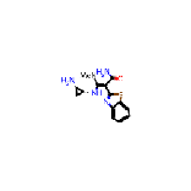 CN/C(N[C@@H]1C[C@@H]1N)=C(\C(N)=O)c1nc2ccccc2s1